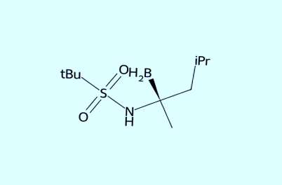 B[C@](C)(CC(C)C)NS(=O)(=O)C(C)(C)C